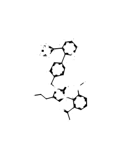 CCCc1cn(-c2c(OC)cccc2C(C)=O)c(=O)n1Cc1ccc(-c2ncccc2-c2nnn[nH]2)cc1